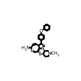 CN1CCCC(N2N=C(c3ccc(Oc4ccccc4)cc3)C3C#CC(N)/N=C\C(Br)=C/32)C1